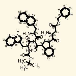 CC(C)(C)OC(=O)N[C@@H](Cc1c[nH]c2ccccc12)C(=O)N(C(=O)C1CC(C(=O)[C@@H](N)CC(=O)OCc2ccccc2)c2ccccc21)C(=O)[C@@H](N)Cc1ccc2ccccc2c1